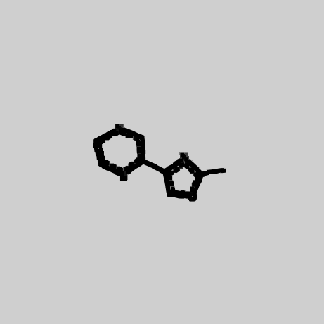 Cc1nc(-c2cnccn2)co1